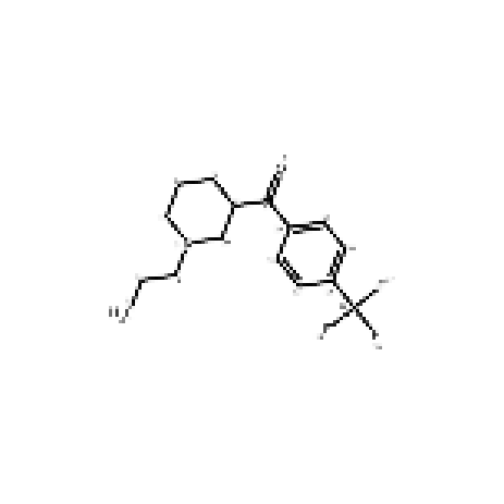 CCCN1CCCC(C(=O)c2ccc(C(F)(F)F)cc2)C1